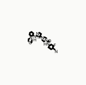 N#Cc1ccc(NC(=O)N2CCN(c3ccnc(Nc4ccccc4N4CCOCC4)n3)CC2)cc1F